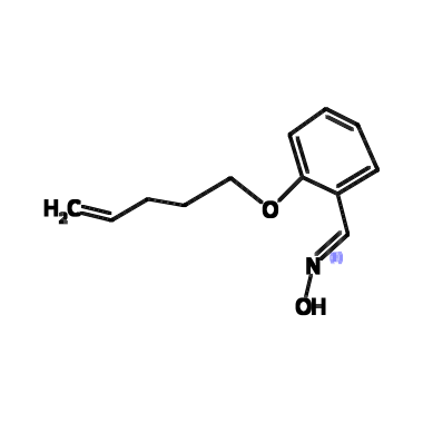 C=CCCCOc1ccccc1/C=N/O